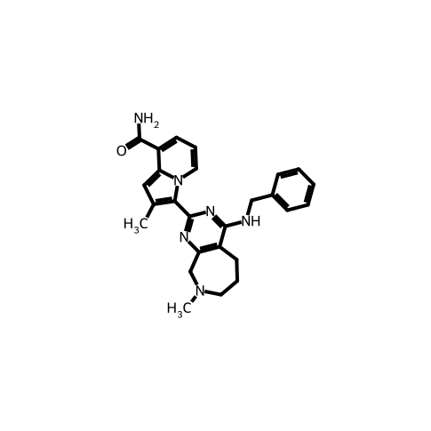 Cc1cc2c(C(N)=O)cccn2c1-c1nc2c(c(NCc3ccccc3)n1)CCCN(C)C2